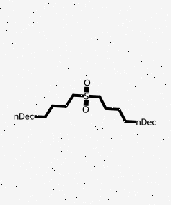 CCCCCCCCCCCCCCS(=O)(=O)CCCCCCCCCCCCCC